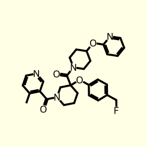 Cc1ccncc1C(=O)N1CCCC(Oc2ccc(CF)cc2)(C(=O)N2CCC(Oc3ccccn3)CC2)C1